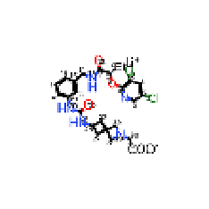 CC[C@@H](Oc1ncc(Cl)cc1Cl)C(=O)NCc1cccc(NC(=O)NC2CC3(C2)CN(CC(=O)[O-])C3)c1.[Li+]